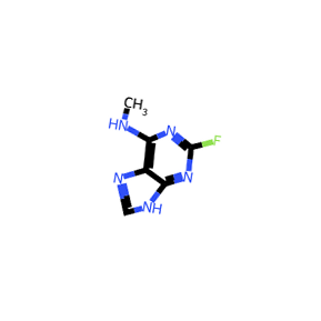 CNc1nc(F)nc2[nH]cnc12